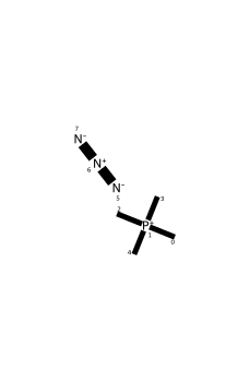 C[P+](C)(C)C.[N-]=[N+]=[N-]